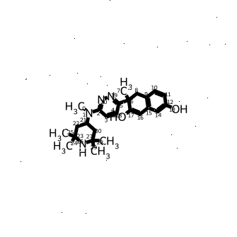 CN(c1ccc(C2(C)Cc3ccc(O)cc3C=C2O)nn1)C1CC(C)(C)NC(C)(C)C1